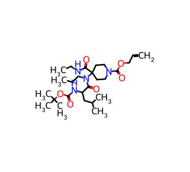 C=CCOC(=O)N1CCC(C(=O)NCC)(N(CCC)C(=O)C(CC(C)C)NC(=O)OC(C)(C)C)CC1